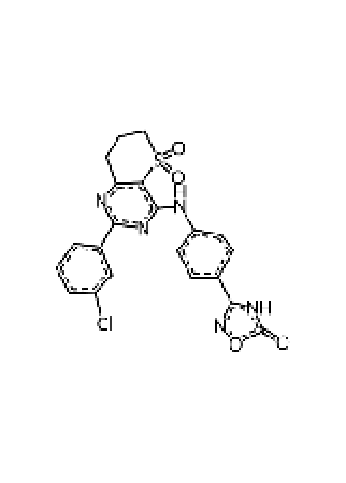 O=c1[nH]c(-c2ccc(Nc3nc(-c4cccc(Cl)c4)nc4c3S(=O)(=O)CCC4)cc2)no1